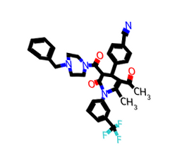 CC(=O)C1=C(C)N(c2cccc(C(F)(F)F)c2)C(=O)C(C(=O)N2CCN(Cc3ccccc3)CC2)C1c1ccc(C#N)cc1